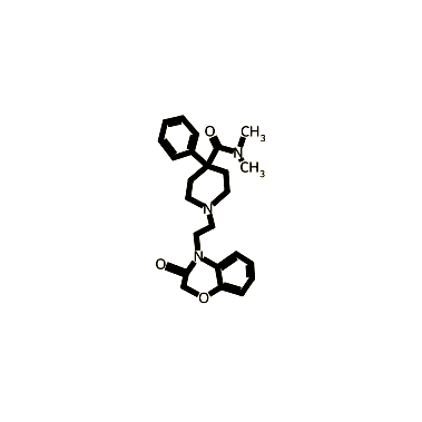 CN(C)C(=O)C1(c2ccccc2)CCN(CCN2C(=O)COc3ccccc32)CC1